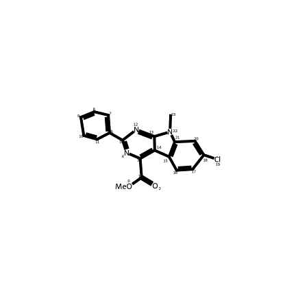 COC(=O)c1nc(-c2ccccc2)nc2c1c1ccc(Cl)cc1n2C